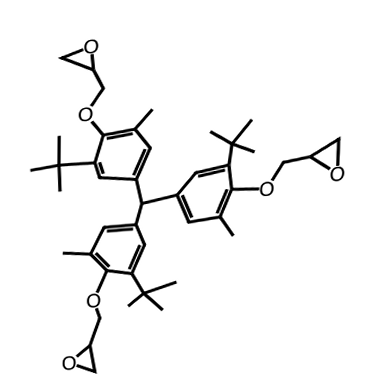 Cc1cc(C(c2cc(C)c(OCC3CO3)c(C(C)(C)C)c2)c2cc(C)c(OCC3CO3)c(C(C)(C)C)c2)cc(C(C)(C)C)c1OCC1CO1